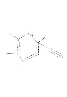 CC1=C(C)NC(C)(C#N)C=N1